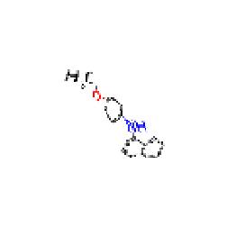 CCOc1ccc(Nc2cccc3ccccc23)cc1